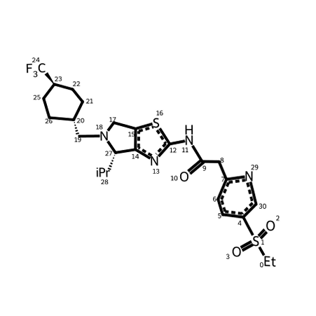 CCS(=O)(=O)c1ccc(CC(=O)Nc2nc3c(s2)CN(C[C@H]2CC[C@H](C(F)(F)F)CC2)[C@H]3C(C)C)nc1